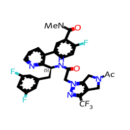 CNC(=O)c1cc(-c2cccnc2[C@H](Cc2cc(F)cc(F)c2)NC(=O)Cn2nc(C(F)(F)F)c3c2CN(C(C)=O)C3)ccc1F